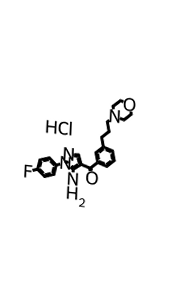 Cl.Nc1c(C(=O)c2cccc(CCCN3CCOCC3)c2)cnn1-c1ccc(F)cc1